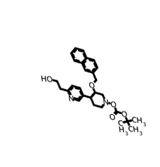 CC(C)(C)OC(=O)ON1CCC(c2ccc(CCO)nc2)C(OCc2ccc3ccccc3c2)C1